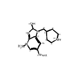 CCCCCC1=CN(N)C2=NC(O)N(CC3CCNCC3)C2=C1